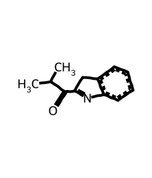 CC(C)C(=O)C1=Nc2ccccc2C1